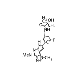 CNc1nc2[nH]c(-c3cc(F)cc(CNC(=O)C(C)(C)O)c3)cc2c2c1ncn2C